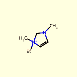 CC[N+]1(C)C=CN(C)C1